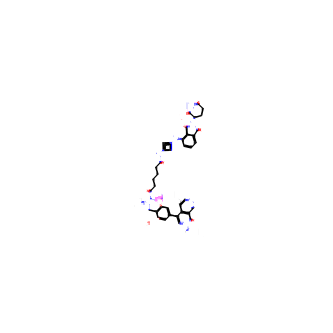 COc1cc(-c2cn(C)c(=O)c3cnccc23)cc(OC)c1CN(C)NC(=O)CCCCC(=O)NC12CC(Nc3cccc4c3C(=O)N(C3CCC(=O)NC3=O)C4=O)(C1)C2